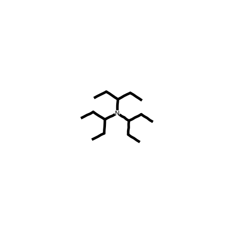 CC[C](CC)N([C](CC)CC)[C](CC)CC